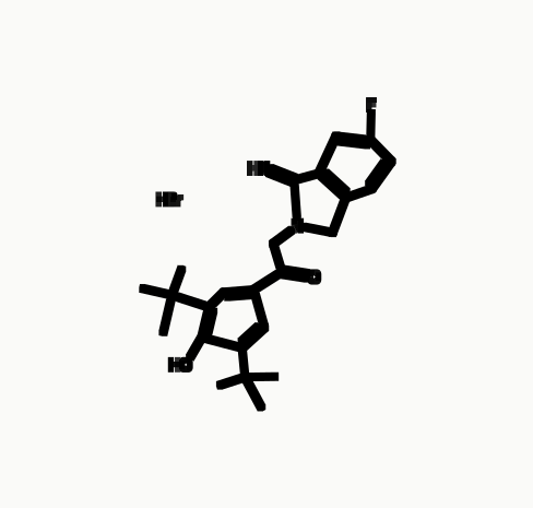 Br.CC(C)(C)c1cc(C(=O)CN2Cc3ccc(F)cc3C2=N)cc(C(C)(C)C)c1O